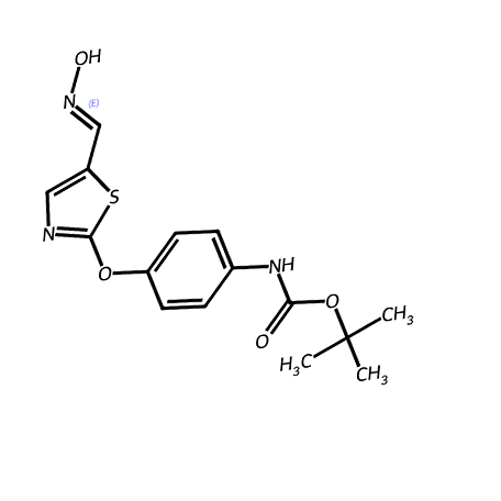 CC(C)(C)OC(=O)Nc1ccc(Oc2ncc(/C=N/O)s2)cc1